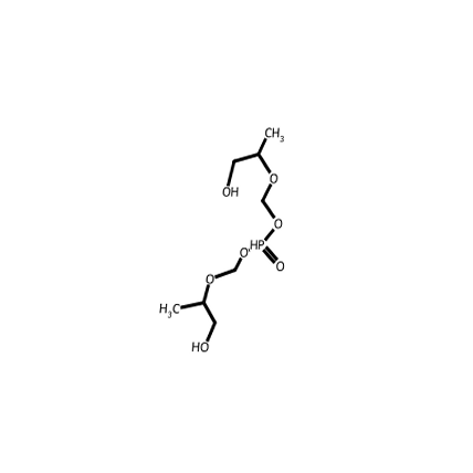 CC(CO)OCO[PH](=O)OCOC(C)CO